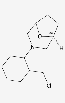 ClCC1CCCCC1N1CC2CC[C@@H](C1)O2